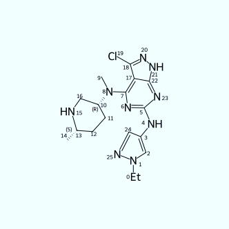 CCn1cc(Nc2nc(N(C)[C@@H]3CC[C@H](C)NC3)c3c(Cl)n[nH]c3n2)cn1